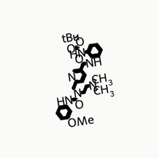 COc1cccc(NC(=O)N(CCN(C)C)Cc2ccc(C(=O)Nc3ccccc3NC(=O)OC(C)(C)C)cn2)c1